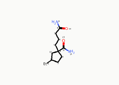 CCC1CCC(CCCC(N)=O)(C(N)=O)C1